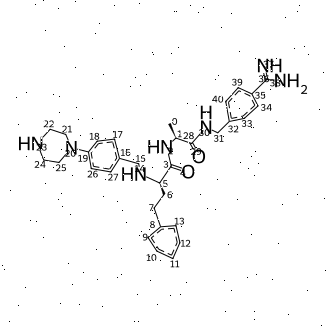 C[C@H](NC(=O)[C@@H](CCc1ccccc1)NCc1ccc(N2CCNCC2)cc1)C(=O)NCc1ccc(C(=N)N)cc1